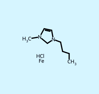 CCCCN1C=CN(C)C1.Cl.[Fe]